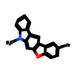 CCCc1ccc2oc3cc4c(cc3c2c1)c1ccccc1n4C